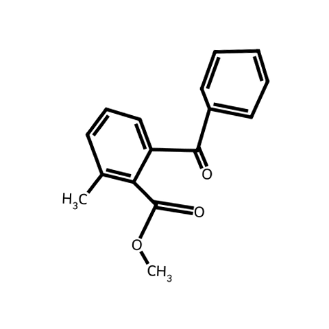 COC(=O)c1c(C)cccc1C(=O)c1ccccc1